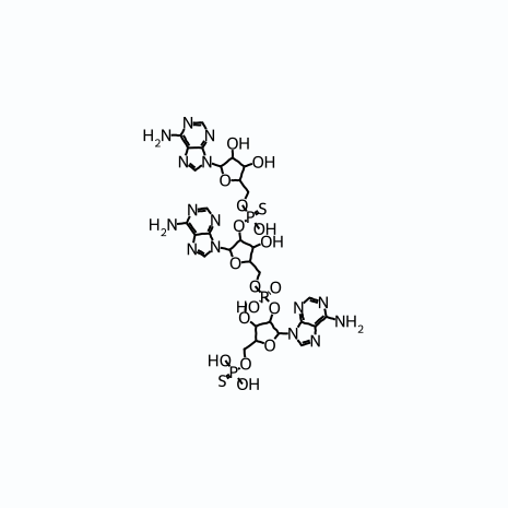 COC1C(COP(O)(O)=S)OC(n2cnc3c(N)ncnc32)C1OP(=O)(O)OCC1OC(n2cnc3c(N)ncnc32)C(OP(O)(=S)OCC2OC(n3cnc4c(N)ncnc43)C(O)C2O)C1O